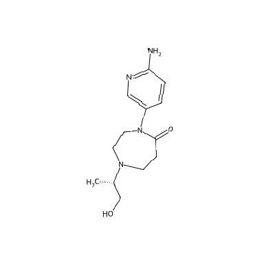 C[C@@H](CO)N1CCC(=O)N(c2ccc(N)nc2)CC1